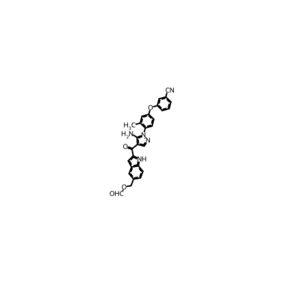 Cc1cc(Oc2cccc(C#N)c2)ccc1-n1ncc(C(=O)c2cc3cc(COC=O)ccc3[nH]2)c1N